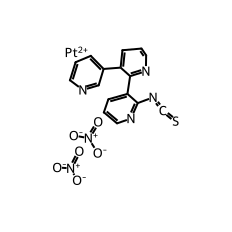 O=[N+]([O-])[O-].O=[N+]([O-])[O-].S=C=Nc1ncccc1-c1ncccc1-c1cccnc1.[Pt+2]